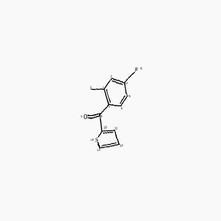 Cc1cc(F)ccc1C(=O)c1cccs1